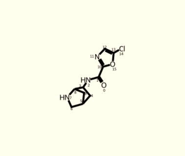 O=C(NC1CC2CNC1C2)c1ncc(Cl)o1